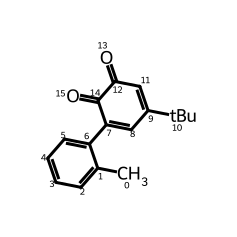 Cc1ccccc1C1=CC(C(C)(C)C)=CC(=O)C1=O